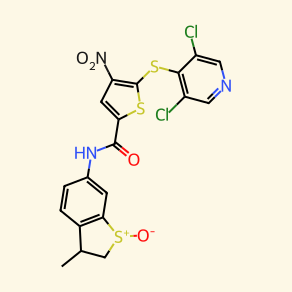 CC1C[S+]([O-])c2cc(NC(=O)c3cc([N+](=O)[O-])c(Sc4c(Cl)cncc4Cl)s3)ccc21